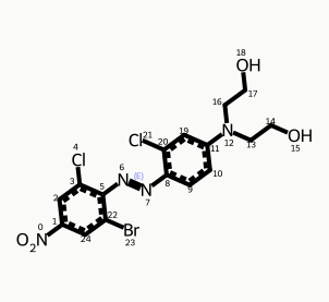 O=[N+]([O-])c1cc(Cl)c(/N=N/c2ccc(N(CCO)CCO)cc2Cl)c(Br)c1